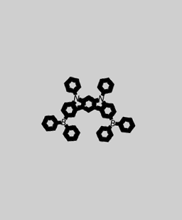 c1ccc(B(c2ccccc2)c2ccc3c(c2)c2cc4c5cc(B(c6ccccc6)c6ccccc6)ccc5n(-c5ccccc5)c4cc2n3-c2ccccc2)cc1